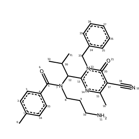 Cc1ccc(C(=O)N(CCCN)C(c2nc(C)c(C#N)c(=O)n2Cc2ccccc2)C(C)C)cc1